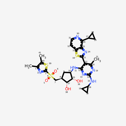 Cc1nc(S(=O)(=O)C[C@H]2C[C@@H](Nc3nc(NC4CC4)nc(C)c3-c3nc4c(C5CC5)nccc4s3)[C@H](O)[C@@H]2O)sc1C